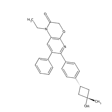 CCN1C(=O)COc2nc(-c3ccc([C@H]4C[C@@](C)(O)C4)cc3)c(-c3ccccc3)cc21